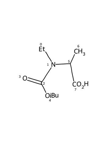 CCN(C(=O)OCC(C)C)C(C)C(=O)O